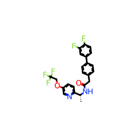 C[C@@H](NC(=O)Cc1ccc(-c2ccc(F)c(F)c2)cc1)c1ccc(OCC(F)(F)F)cn1